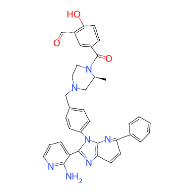 C[C@H]1CN(Cc2ccc(-n3c(-c4cccnc4N)nc4ccc(-c5ccccc5)nc43)cc2)CCN1C(=O)c1ccc(O)c(C=O)c1